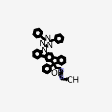 C#C/C=C\C=C/CC1(c2ccccc2O)c2ccccc2-c2cc3c(cc21)c1ccccc1n3-c1nc(-c2ccccc2)nc(-c2ccccc2)n1